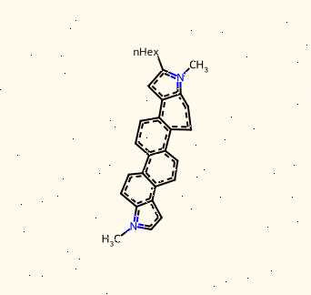 CCCCCCc1cc2c3ccc4c(ccc5c4ccc4c5ccn4C)c3ccc2n1C